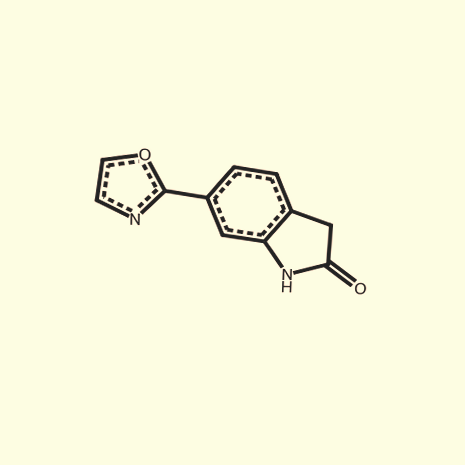 O=C1Cc2ccc(-c3ncco3)cc2N1